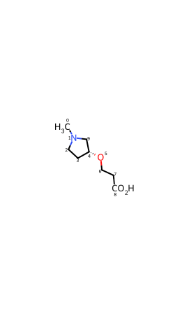 CN1CC[C@@H](OCCC(=O)O)C1